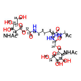 CC(=O)CNC(=O)[C@H](CCCCNC(=O)COC1OC(CO)C(O)C(O)C1NC(C)=O)NC(=O)COC1OC(CO)C(O)C(O)C1NC(C)=O